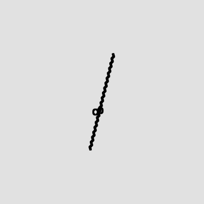 CCCCCCCCCCCCCCCCCCCCCCCOC(=O)CCCCCCCCCCCCCCC